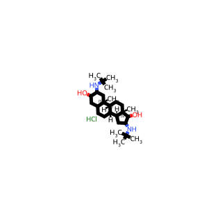 CC(C)(C)NC1C[C@@]2(C)C(CC[C@@H]3[C@H]2CC[C@]2(C)C(O)C(NC(C)(C)C)C[C@@H]32)CC1O.Cl